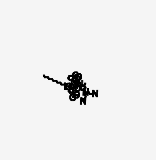 CCCCCCCCCCCCOc1ccc(C(=O)OC)cc1NC(=O)/C(=N\c1ccc(N(CCC#N)CCC#N)cc1C)C1=NC2=C(CCCC2)S(=O)(=O)N1CC